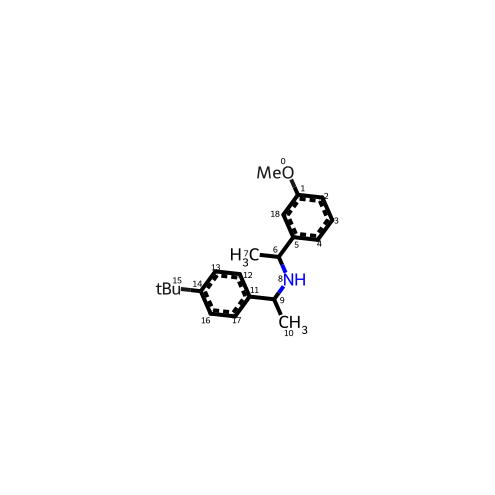 COc1cccc(C(C)NC(C)c2ccc(C(C)(C)C)cc2)c1